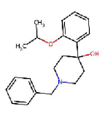 CC(C)Oc1ccccc1C1(O)CCN(Cc2ccccc2)CC1